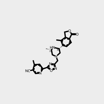 Cc1cc(-c2nc(CN3C[C@@H](c4ccc5c(c4C)COC5=O)N[C@@H](C)C3)no2)ncc1C#N